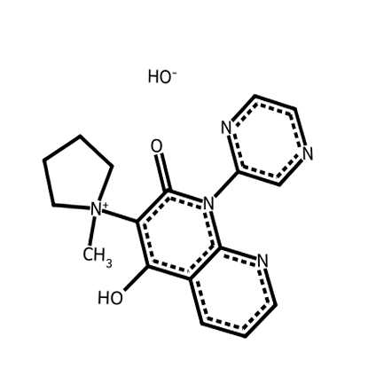 C[N+]1(c2c(O)c3cccnc3n(-c3cnccn3)c2=O)CCCC1.[OH-]